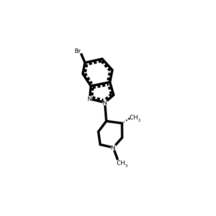 C[C@@H]1CN(C)CCC1n1cc2ccc(Br)cc2n1